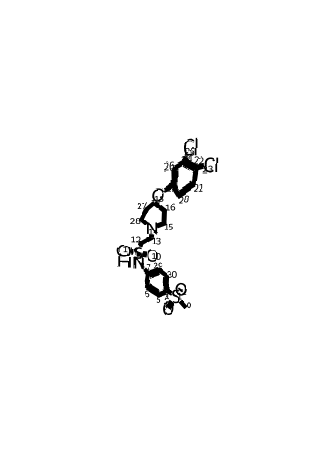 CS(=O)(=O)c1ccc(NS(=O)(=O)CCN2CCC(Oc3ccc(Cl)c(Cl)c3)CC2)cc1